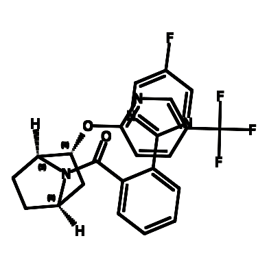 O=C(c1ccccc1-c1ncc(F)cn1)N1[C@@H]2CC[C@H]1[C@H](Oc1ccc(C(F)(F)F)cn1)C2